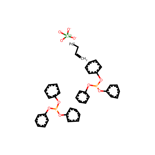 C=C[CH2][Pd+].[O-][Cl+3]([O-])([O-])[O-].c1ccc(OP(Oc2ccccc2)Oc2ccccc2)cc1.c1ccc(OP(Oc2ccccc2)Oc2ccccc2)cc1